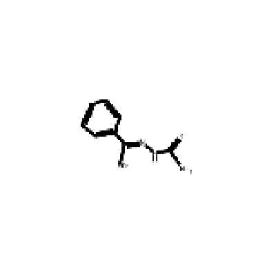 CCCC(=NNC(N)=S)c1ccccc1